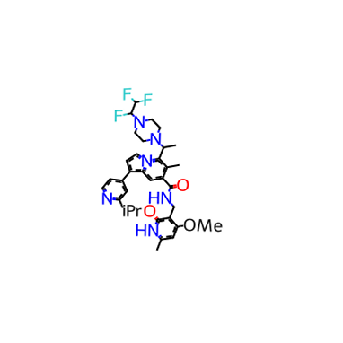 COc1cc(C)[nH]c(=O)c1CNC(=O)c1cc2c(-c3ccnc(C(C)C)c3)ccn2c(C(C)N2CCN(C(F)C(F)F)CC2)c1C